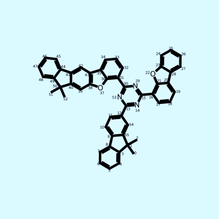 CC1(C)c2ccccc2-c2ccc(-c3nc(-c4cccc5c4oc4ccccc45)nc(-c4cccc5c4oc4cc6c(cc45)-c4ccccc4C6(C)C)n3)cc21